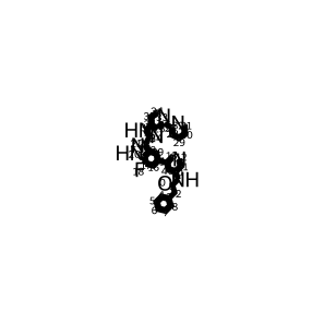 O=C(Cc1ccccc1)Nc1cncc(-c2cc(F)c3[nH]nc(-c4nc5c(-c6ccccn6)nccc5[nH]4)c3c2)c1